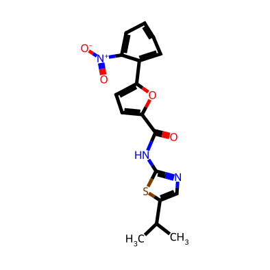 CC(C)c1cnc(NC(=O)c2ccc(-c3ccccc3[N+](=O)[O-])o2)s1